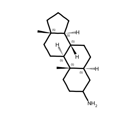 C[C@@]12CCC[C@H]1[C@@H]1CC[C@H]3CC(N)CC[C@]3(C)[C@H]1CC2